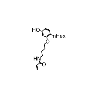 C=CC(=O)NCCCCOc1cc(O)ccc1CCCCCC